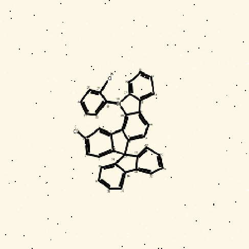 Clc1ccc2c(c1)-c1c(ccc3c4ccccc4n(-c4ccccc4Cl)c13)C21c2ccccc2-c2ccccc21